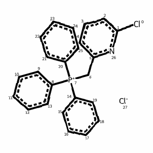 Clc1cccc(C[P+](c2ccccc2)(c2ccccc2)c2ccccc2)n1.[Cl-]